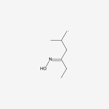 [CH2]C(C)CC(CC)=NO